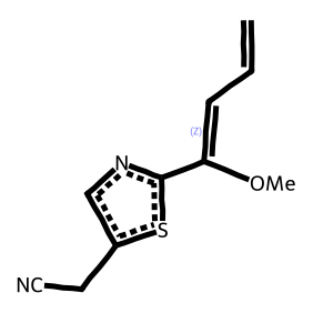 C=C/C=C(\OC)c1ncc(CC#N)s1